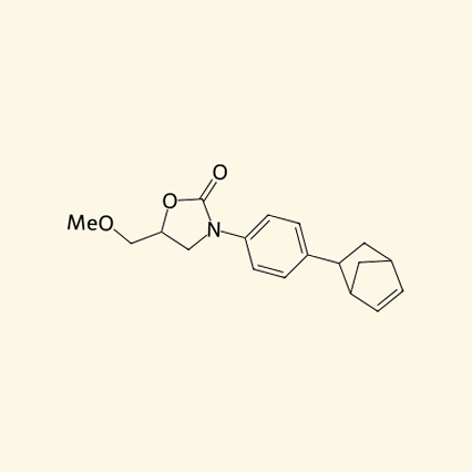 COCC1CN(c2ccc(C3CC4C=CC3C4)cc2)C(=O)O1